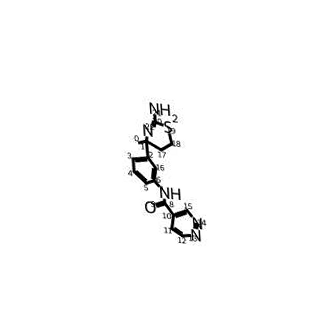 CC1(c2cccc(NC(=O)c3ccnnc3)c2)CCSC(N)=N1